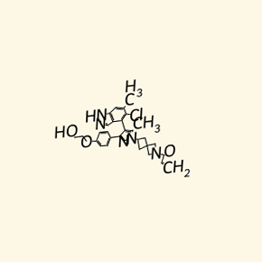 C=CC(=O)N1CC2(CC(n3nc(-c4ccc(OCCO)cc4)c(-c4c(Cl)c(C)cc5[nH]ncc45)c3C)C2)C1